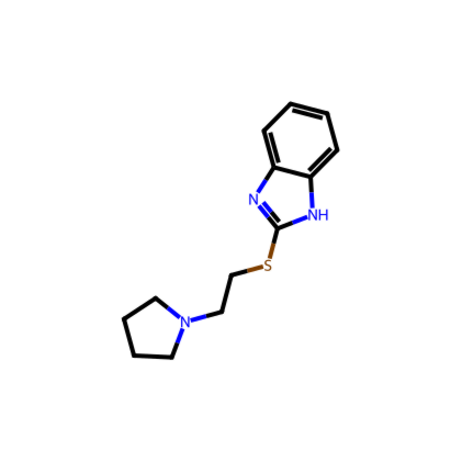 c1ccc2[nH]c(SCCN3CCCC3)nc2c1